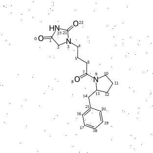 O=C1CN(CCCC(=O)N2CCCC2Cc2ccccc2)C(=O)N1